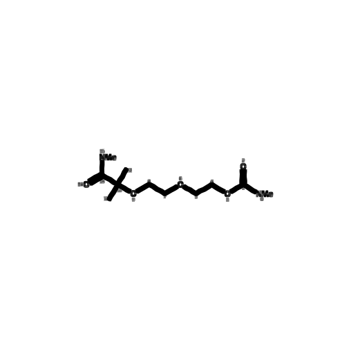 CNC(=O)OCCOCCOC(C)(C)C(=O)NC